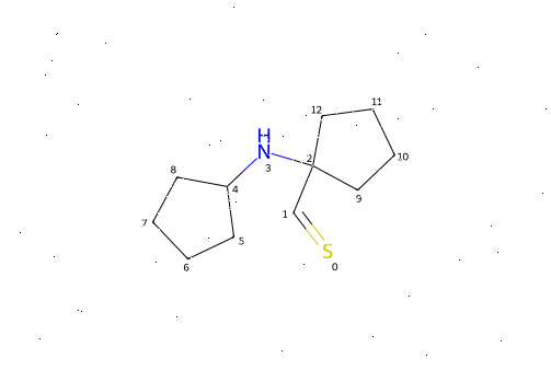 S=CC1(NC2CCCC2)CCCC1